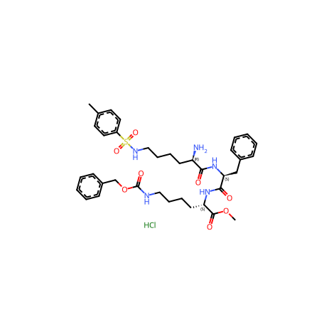 COC(=O)[C@H](CCCCNC(=O)OCc1ccccc1)NC(=O)[C@H](Cc1ccccc1)NC(=O)[C@H](N)CCCCNS(=O)(=O)c1ccc(C)cc1.Cl